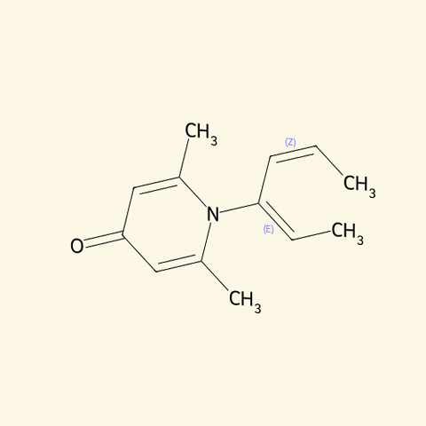 C/C=C\C(=C/C)n1c(C)cc(=O)cc1C